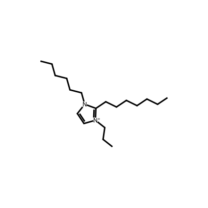 CCCCCCCc1n(CCCCCC)cc[n+]1CCC